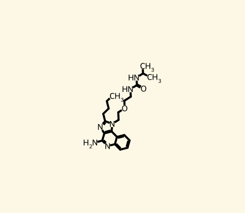 CCCCc1nc2c(N)nc3ccccc3c2n1CCOCCNC(=O)NC(C)C